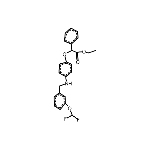 CCOC(=O)C(Oc1ccc(NCc2cccc(OC(F)F)c2)cc1)c1ccccc1